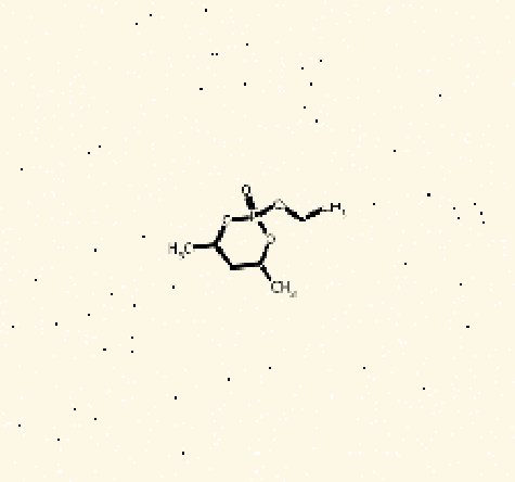 CCOP1(=O)OC(C)CC(C)O1